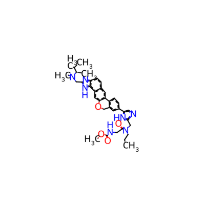 CCCN(Cc1ncc(-c2ccc3c(c2)COc2cc4c(ccc5nc(CN(C)[C@H](C)C(C)C)[nH]c54)cc2-3)[nH]1)C(=O)CNC(=O)OC